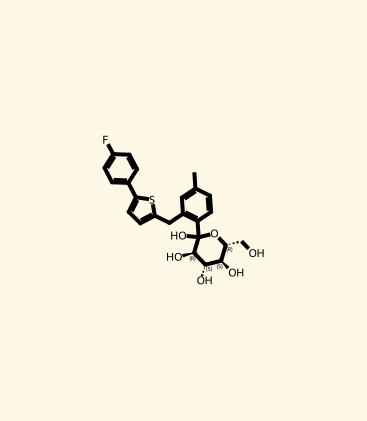 Cc1ccc(C2(O)O[C@H](CO)[C@@H](O)[C@H](O)[C@H]2O)c(Cc2ccc(-c3ccc(F)cc3)s2)c1